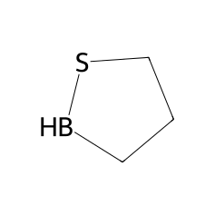 B1CCCS1